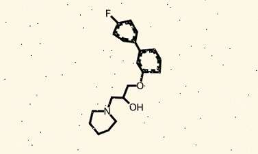 OC(COc1cccc(-c2ccc(F)cc2)c1)CN1CCCCC1